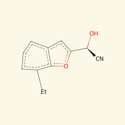 CCc1cccc2cc([C@@H](O)C#N)oc12